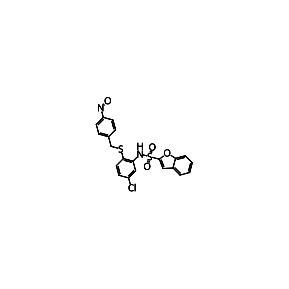 O=Nc1ccc(CSc2ccc(Cl)cc2NS(=O)(=O)c2cc3ccccc3o2)cc1